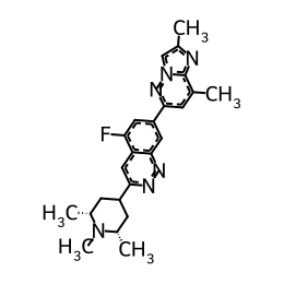 Cc1cn2nc(-c3cc(F)c4cc(C5C[C@@H](C)N(C)[C@@H](C)C5)nnc4c3)cc(C)c2n1